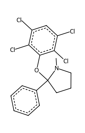 CN1CCCC1(Oc1c(Cl)c(Cl)cc(Cl)c1Cl)c1ccccc1